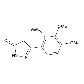 COc1ccc(C2=NNC(=O)C2)c(OC)c1OC